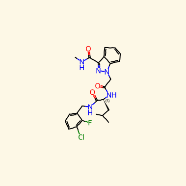 CNC(=O)c1nn(CC(=O)N[C@@H](CC(C)C)C(=O)NCc2cccc(Cl)c2F)c2ccccc12